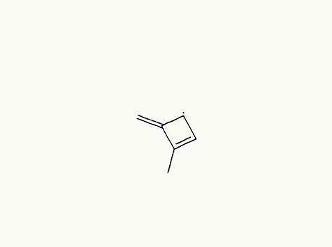 C=C1[CH]C=C1C